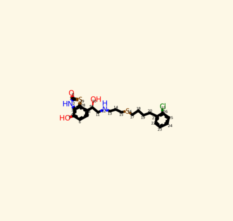 O=c1[nH]c2c(O)ccc([C@@H](O)CNCCCSC[CH]CCc3ccccc3Cl)c2s1